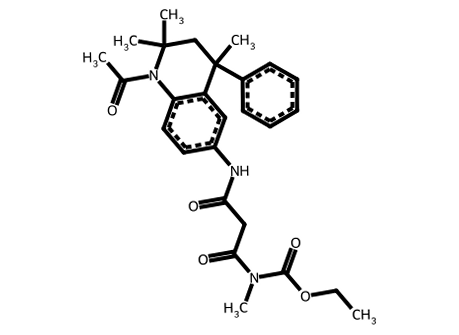 CCOC(=O)N(C)C(=O)CC(=O)Nc1ccc2c(c1)C(C)(c1ccccc1)CC(C)(C)N2C(C)=O